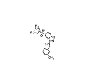 CCN(CC)S(=O)(=O)c1ccc2nnc(NCc3cccc(C)c3)n2c1